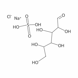 O=CC(O)C(O)C(O)C(O)CO.O=S(=O)(O)O.[Cl-].[Na+]